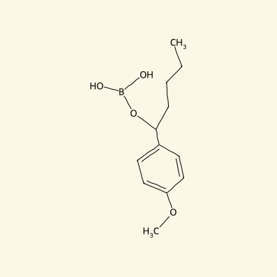 CCCCC(OB(O)O)c1ccc(OC)cc1